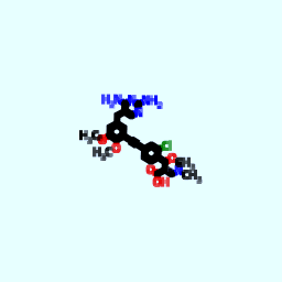 COc1cc(Cc2cnc(N)nc2N)cc(C#Cc2ccc(C(=O)/C(=C\N(C)C)C(=O)O)c(Cl)c2)c1OC